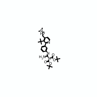 C[SiH](C)OCc1ccnc(-c2cccc(/N=C(\N)N(C(=O)OC(C)(C)C)C(=O)OC(C)(C)C)c2)c1C(C)(C)C